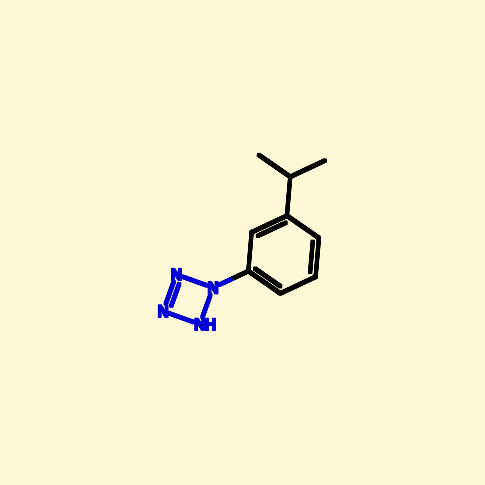 CC(C)c1cccc(-n2nn[nH]2)c1